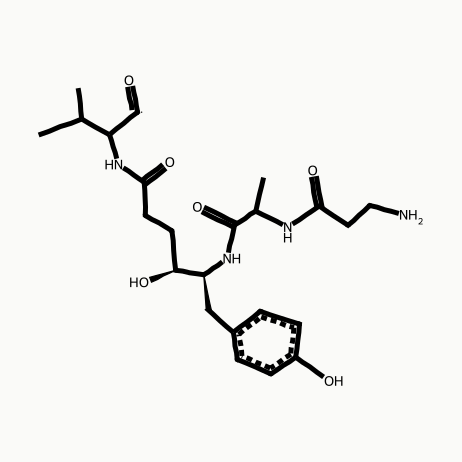 CC(NC(=O)CCN)C(=O)N[C@@H](Cc1ccc(O)cc1)[C@@H](O)CCC(=O)NC([C]=O)C(C)C